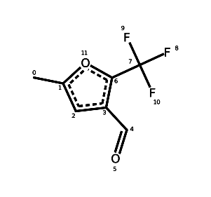 Cc1cc(C=O)c(C(F)(F)F)o1